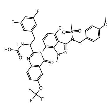 COc1ccc(CN(c2nn(C)c3c(-n4c(C(Cc5cc(F)cc(F)c5)NC(=O)O)nc5ccc(OC(F)(F)F)cc5c4=O)ccc(Cl)c23)S(C)(=O)=O)cc1